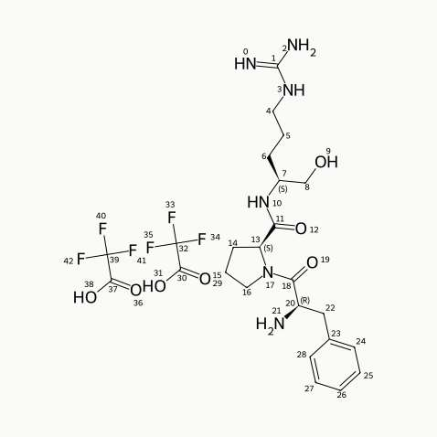 N=C(N)NCCC[C@@H](CO)NC(=O)[C@@H]1CCCN1C(=O)[C@H](N)Cc1ccccc1.O=C(O)C(F)(F)F.O=C(O)C(F)(F)F